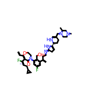 C=CC1=C(/C(F)=C\CC2CC2)C(=O)N(c2cc(F)cc(C(=C)CC/N=C3\CC=C([C@@H]4CCC(CN5CCN(C)CC5C)=CN4)N3)c2CO)CCO1